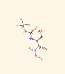 CON(C)C(=O)[C@H](CO)NC(=O)OC(C)(C)C